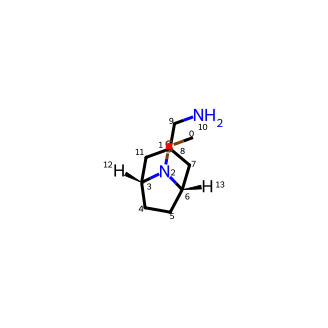 CSN1[C@@H]2CC[C@H]1CC(CN)C2